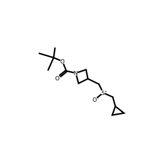 CC(C)(C)OC(=O)N1CC(C[S+]([O-])CC2CC2)C1